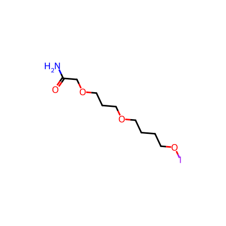 NC(=O)COCCCOCCCCOI